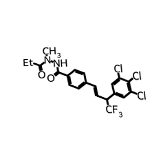 CCC(=O)N(C)NC(=O)c1ccc(/C=C/C(c2cc(Cl)c(Cl)c(Cl)c2)C(F)(F)F)cc1